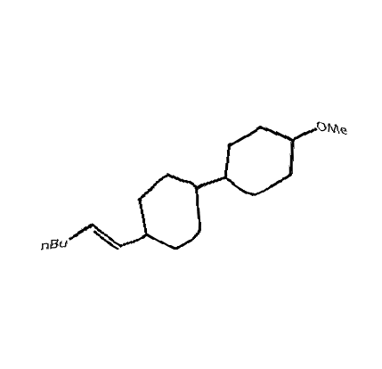 CCCCC=CC1CCC(C2CCC(OC)CC2)CC1